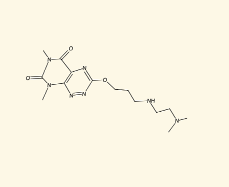 CN(C)CCNCCCOc1nnc2c(n1)c(=O)n(C)c(=O)n2C